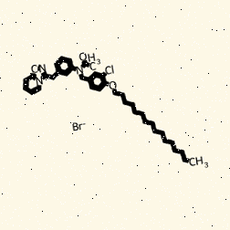 CCCCCCCCCCCCCCCCOc1ccc(CN(C(C)=O)c2cccc(CC3=N[C+]=C4C=CC=CN43)c2)cc1Cl.[Br-]